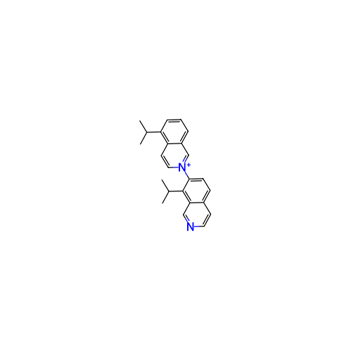 CC(C)c1cccc2c[n+](-c3ccc4ccncc4c3C(C)C)ccc12